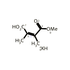 COC(=O)/C(C)=C(/C)C(=O)O.[KH]